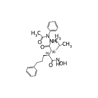 CC(=O)N(NC(=O)[C@H](CC(C)C)[C@H](CCCc1ccccc1)C(=O)NO)c1ccccc1